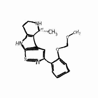 COCOc1ccccc1-c1cc2c3c([nH]c2nn1)CCN[C@@H]3C